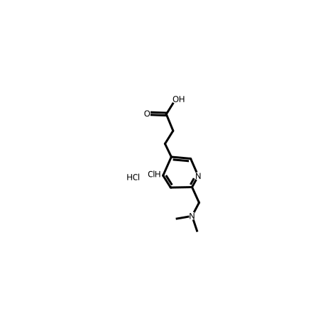 CN(C)Cc1ccc(CCC(=O)O)cn1.Cl.Cl